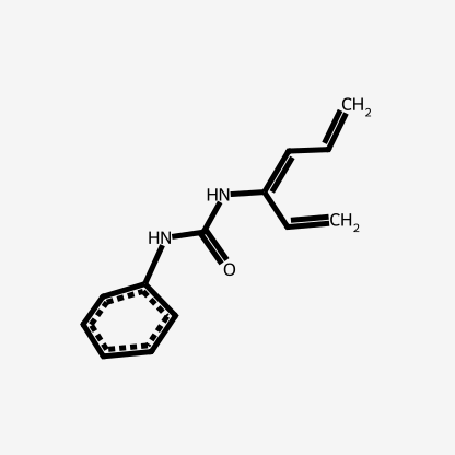 C=C/C=C(\C=C)NC(=O)Nc1ccccc1